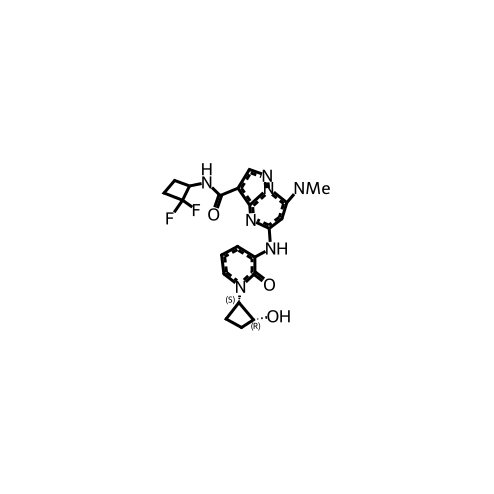 CNc1cc(Nc2cccn([C@H]3CC[C@H]3O)c2=O)nc2c(C(=O)NC3CCC3(F)F)cnn12